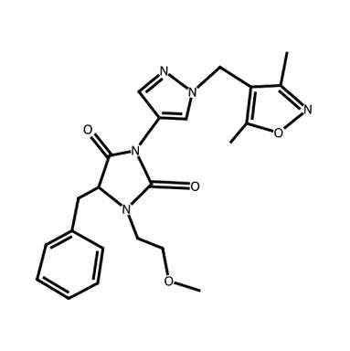 COCCN1C(=O)N(c2cnn(Cc3c(C)noc3C)c2)C(=O)C1Cc1ccccc1